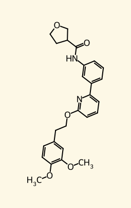 COc1ccc(CCOc2cccc(-c3cccc(NC(=O)C4CCOC4)c3)n2)cc1OC